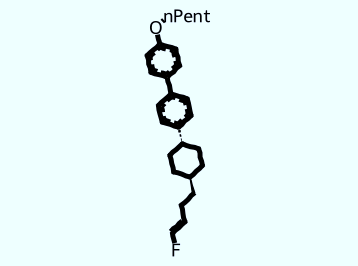 CCCCCOc1ccc(-c2ccc([C@H]3CC[C@H](CCC=CF)CC3)cc2)cc1